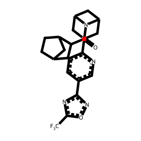 O=C(C1CC2CCC1C2)N1C2CC1CN(c1ccc(-c3noc(C(F)(F)F)n3)cn1)C2